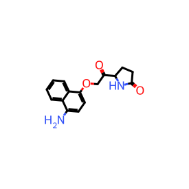 Nc1ccc(OCC(=O)C2CCC(=O)N2)c2ccccc12